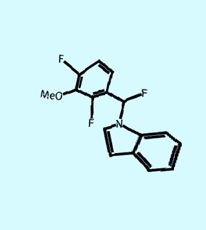 COc1c(F)ccc(C(F)n2ccc3ccccc32)c1F